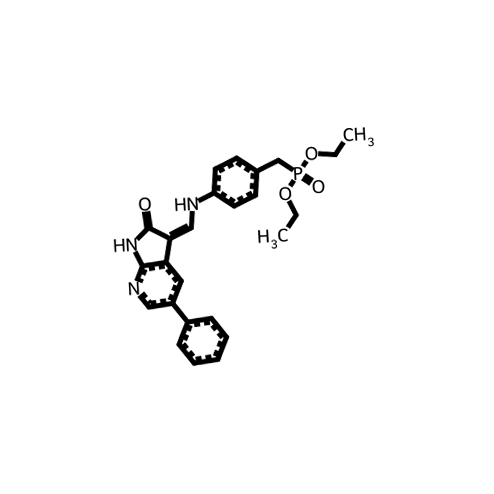 CCOP(=O)(Cc1ccc(NC=C2C(=O)Nc3ncc(-c4ccccc4)cc32)cc1)OCC